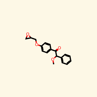 COC(C(=O)c1ccc(OCC2CO2)cc1)c1ccccc1